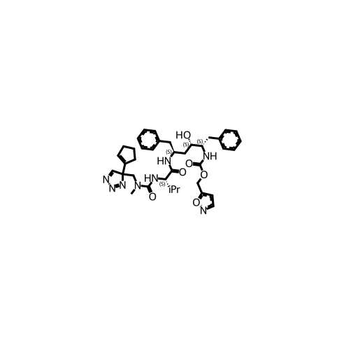 CC(C)[C@H](NC(=O)N(C)CC1(C2=CCCC2)C=NN=N1)C(=O)N[C@@H](Cc1ccccc1)C[C@H](O)[C@H](Cc1ccccc1)NC(=O)OCc1ccno1